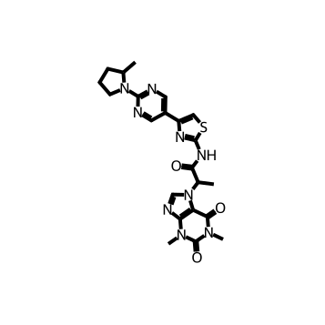 CC1CCCN1c1ncc(-c2csc(NC(=O)C(C)n3cnc4c3c(=O)n(C)c(=O)n4C)n2)cn1